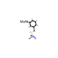 CNc1cccc(CSN(C)C)c1